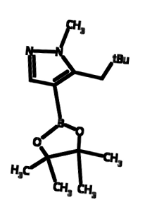 Cn1ncc(B2OC(C)(C)C(C)(C)O2)c1CC(C)(C)C